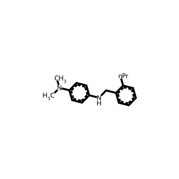 CCCc1ccccc1CNc1ccc(N(C)C)cc1